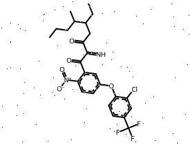 CCCC(C)C(CC)CC(=O)C(=N)C(=O)c1cc(Oc2ccc(C(F)(F)F)cc2Cl)ccc1[N+](=O)[O-]